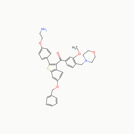 COc1cc(C(=O)c2c(-c3ccc(OCCN)cc3)sc3cc(OCc4ccccc4)ccc23)ccc1CN1CCOCC1